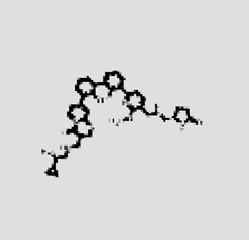 COc1nc(-c2cccc(-c3cccc(-c4ccn5c(=O)c(CNCC(O)C6CC6)cnc5c4)c3Cl)c2Cl)ccc1CNC[C@H]1CCC(=O)N1